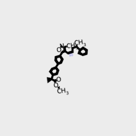 CCOC(=O)C1(c2ccc(-c3ccc(-c4onc(C)c4/C=C\CC(C)c4ccccc4)cc3)cc2)CC1